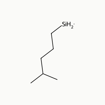 CC(C)CCC[SiH2]